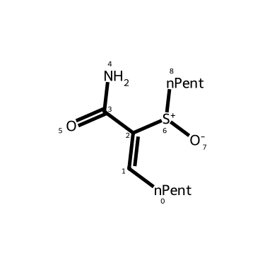 CCCCC/C=C(/C(N)=O)[S+]([O-])CCCCC